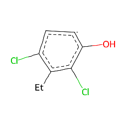 CCc1c(Cl)c[c]c(O)c1Cl